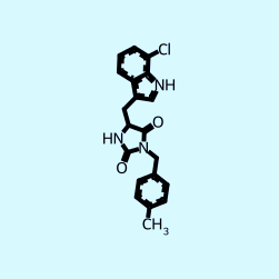 Cc1ccc(CN2C(=O)NC(Cc3c[nH]c4c(Cl)cccc34)C2=O)cc1